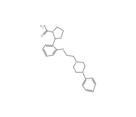 NC(=O)N1CCSC1c1ccccc1OCCN1CCN(c2ccccc2)CC1